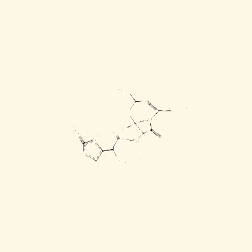 CC1C=C(C(=O)O)N2C(=O)C(NC(=O)C(O)c3csc(=N)[nH]3)[C@@H]2S1.Cl